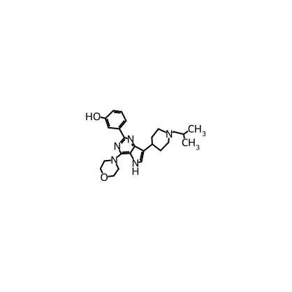 CC(C)CN1CCC(c2c[nH]c3c(N4CCOCC4)nc(-c4cccc(O)c4)nc23)CC1